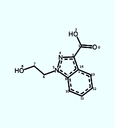 O=C(O)c1nn(CCO)c2ccccc12